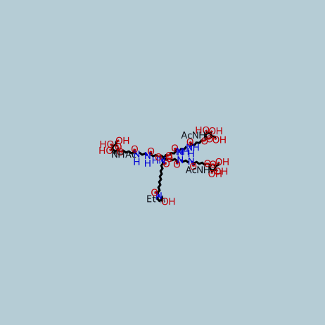 CCC1C[C@@H](O)CN1C(=O)CCCCCCCCCCC(=O)NC(COCCC(=O)NCCCNC(=O)CCCCOC1OC(CO)C(O)C(O)C1NC(C)=O)(COCCC(=O)NCCCNC(=O)CCCCOC1OC(CO)C(O)C(O)C1NC(C)=O)COCCC(=O)NCCCNC(=O)CCCCOC1OC(CO)C(O)C(O)C1NC(C)=O